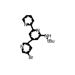 CC(C)(C)Nc1cc(-c2cncc(Br)c2)cc(-c2ccccn2)n1